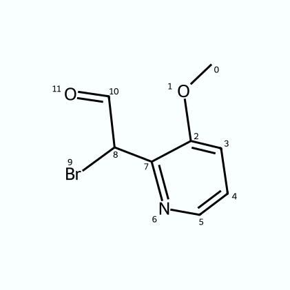 COc1cccnc1C(Br)C=O